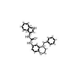 O=C(Nc1ccc2c(c1)N(Cc1ccccc1)CCO2)Nc1c[nH]c2ccccc12